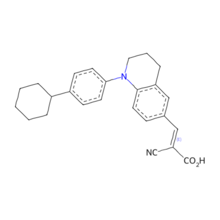 N#C/C(=C\c1ccc2c(c1)CCCN2c1ccc(C2CCCCC2)cc1)C(=O)O